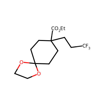 CCOC(=O)C1(CCC(F)(F)F)CCC2(CC1)OCCO2